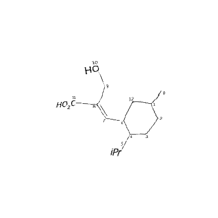 CC1CCC(C(C)C)C(C=C(CO)C(=O)O)C1